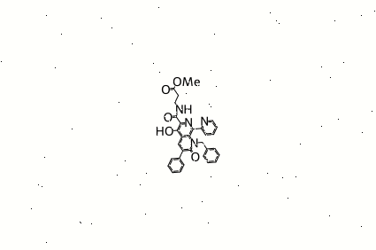 COC(=O)CCNC(=O)c1nc(-c2ccccn2)c2c(cc(-c3ccccc3)c(=O)n2Cc2ccccc2)c1O